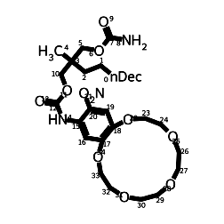 CCCCCCCCCCCCC(C)(COC(N)=O)COC(=O)Nc1cc2c(cc1[N+](=O)[O-])OCCOCCOCCOCCO2